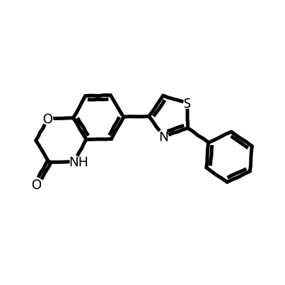 O=C1COc2ccc(-c3csc(-c4ccccc4)n3)cc2N1